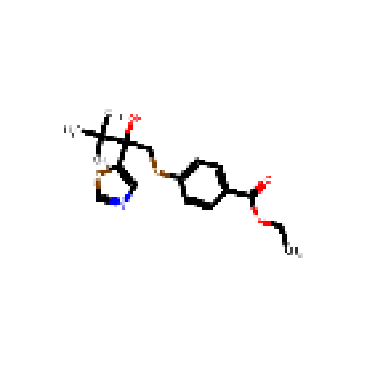 CCOC(=O)c1ccc(SCC(O)(c2cncs2)C(C)(C)C)cc1